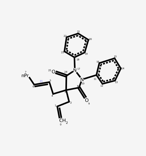 C=CCC1(C/C=C/CCC)C(=O)N(c2ccccc2)N(c2ccccc2)C1=O